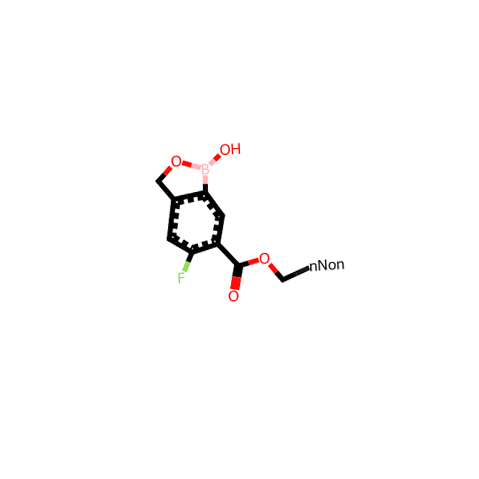 CCCCCCCCCCOC(=O)c1cc2c(cc1F)COB2O